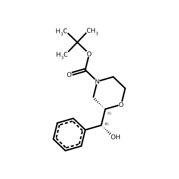 CC(C)(C)OC(=O)N1CCO[C@H]([C@H](O)c2ccccc2)C1